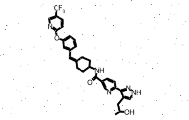 CC(O)Cc1c[nH]nc1-c1ccc(C(=O)NC2CCC(=Cc3cccc(Oc4ccc(C(F)(F)F)cn4)c3)CC2)cn1